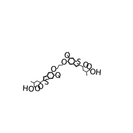 COc1cc2sc(C(=O)CC(C)C(=O)O)cc2cc1OCCCOc1cc2cc(C(=O)CC(C)C(=O)O)sc2cc1OC